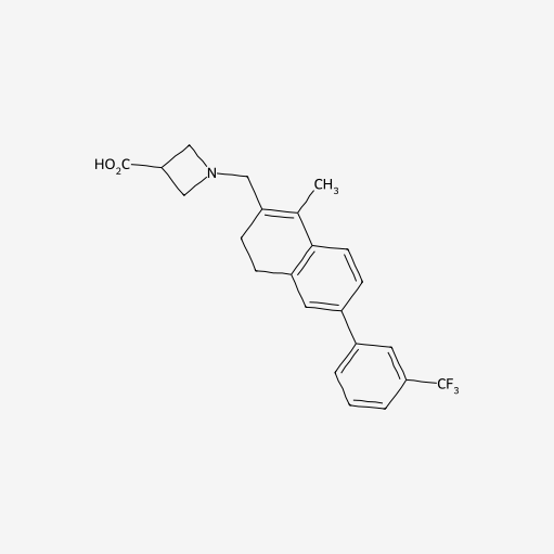 CC1=C(CN2CC(C(=O)O)C2)CCc2cc(-c3cccc(C(F)(F)F)c3)ccc21